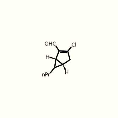 CCCC1[C@H]2CC(Cl)=C(C=O)[C@@H]12